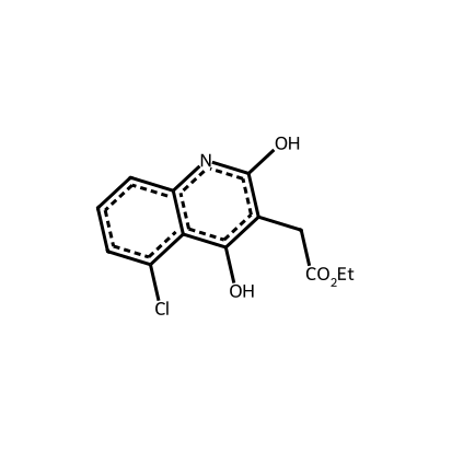 CCOC(=O)Cc1c(O)nc2cccc(Cl)c2c1O